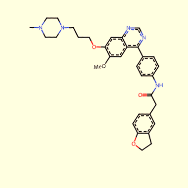 COc1cc2c(-c3ccc(NC(=O)Cc4ccc5c(c4)CCO5)cc3)ncnc2cc1OCCCN1CCN(C)CC1